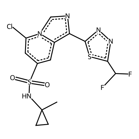 CC1(NS(=O)(=O)c2cc(Cl)n3cnc(-c4nnc(C(F)F)s4)c3c2)CC1